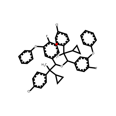 CC(c1ccc(Cl)cc1)(C1CC1)C(OC(c1ccc(F)c(Oc2ccccc2)c1)C(C)(c1ccc(Cl)cc1)C1CC1)c1ccc(F)c(Oc2ccccc2)c1